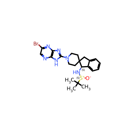 CC(C)(C)[S@@+]([O-])N[C@@H]1c2ccccc2CC12CCN(c1nc3nc(Br)cnc3[nH]1)CC2